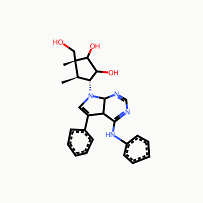 C[C@@H]1[C@@H](N2C=C(c3ccccc3)C3C(Nc4ccccc4)=NC=NC32)C(O)C(O)[C@@]1(C)CO